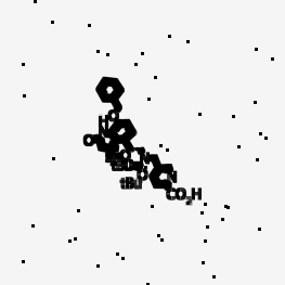 CC(C)(C)OC(=O)N(Cc1ccc(C(=O)O)nc1)C[C@H](O[Si](C)(C)C(C)(C)C)c1ccc(OCc2ccccc2)c2[nH]c(=O)ccc12